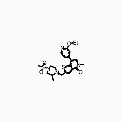 CCOc1cc(-c2cn(C)c(=O)c3cc(CN4CCN(S(C)(=O)=O)CC4C)sc23)ccn1